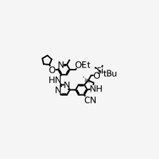 CCOCc1cc(Nc2nccc(-c3cc(C#N)c4c(c3)[C@@](C)(CO[Si](C)(C)C(C)(C)C)CN4)n2)c(OC2CCCC2)nc1C